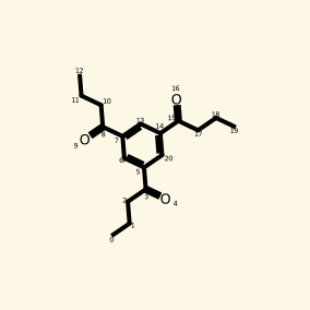 CCCC(=O)c1[c]c(C(=O)CCC)cc(C(=O)CCC)c1